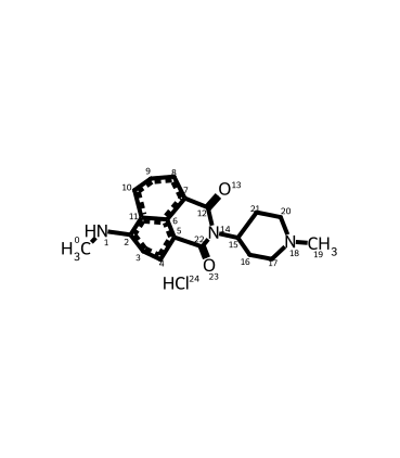 CNc1ccc2c3c(cccc13)C(=O)N(C1CCN(C)CC1)C2=O.Cl